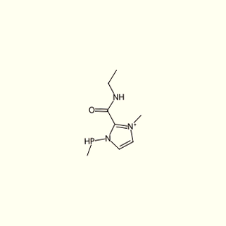 CCNC(=O)c1n(PC)cc[n+]1C